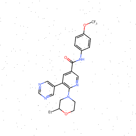 CCC1CN(c2ncc(C(=O)Nc3ccc(OC(F)(F)F)cc3)cc2-c2cncnc2)CCO1